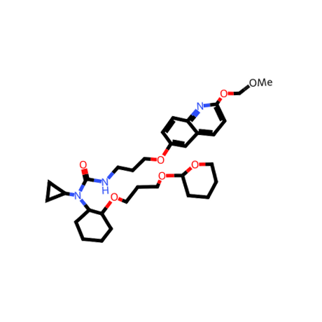 COCOc1ccc2cc(OCCCNC(=O)N(C3CC3)C3CCCCC3OCCCOC3CCCCO3)ccc2n1